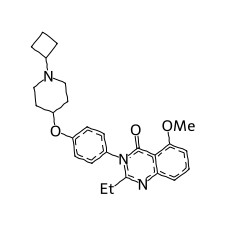 CCc1nc2cccc(OC)c2c(=O)n1-c1ccc(OC2CCN(C3CCC3)CC2)cc1